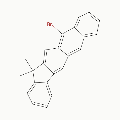 CC1(C)c2ccccc2-c2cc3cc4ccccc4c(Br)c3cc21